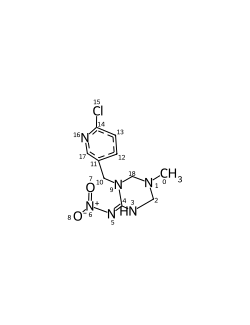 CN1CN/C(=N/[N+](=O)[O-])N(Cc2ccc(Cl)nc2)C1